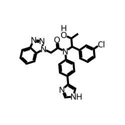 CC(O)C(c1cccc(Cl)c1)N(C(=O)Cn1nnc2ccccc21)c1ccc(-c2c[nH]cn2)cc1